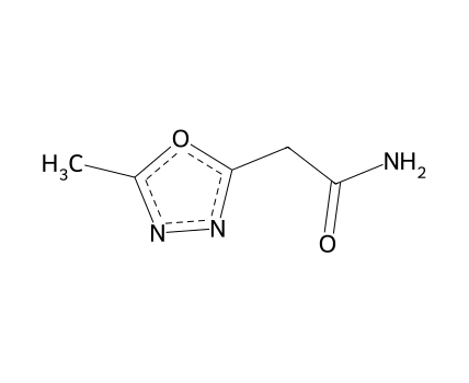 Cc1nnc(CC(N)=O)o1